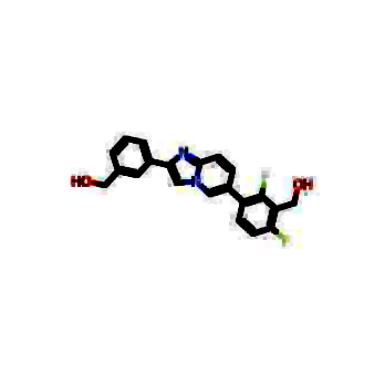 OCc1cccc(-c2cn3cc(-c4ccc(F)c(CO)c4F)ccc3n2)c1